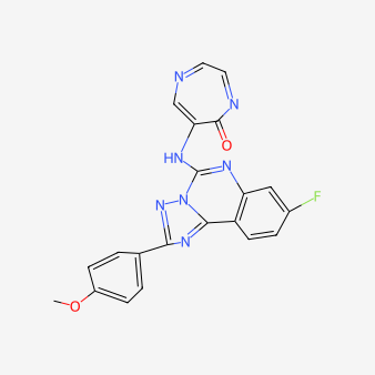 COc1ccc(-c2nc3c4ccc(F)cc4nc(Nc4cnccnc4=O)n3n2)cc1